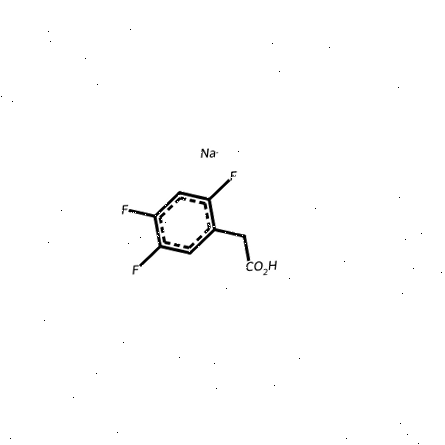 O=C(O)Cc1cc(F)c(F)cc1F.[Na]